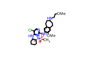 COCCNC1CCc2cc(Nc3ncc(Cl)c(N[C@@H]4CCCC[C@H]4NS(C)(=O)=O)n3)c(OC)cc2CC1